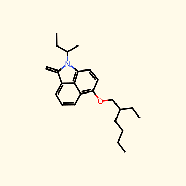 C=c1c2cccc3c(OCC(CC)CCCC)ccc(c32)n1C(C)CC